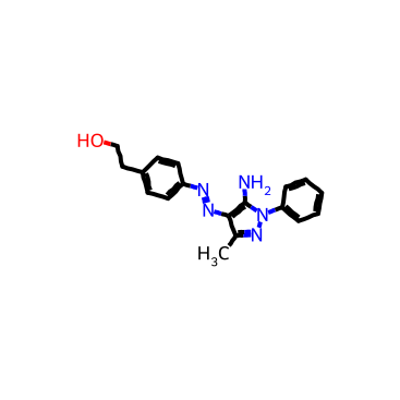 Cc1nn(-c2ccccc2)c(N)c1N=Nc1ccc(CCO)cc1